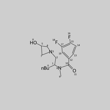 CCCCC(CN1CC(O)C1)N(C)C(=O)c1ccc(F)c(F)c1